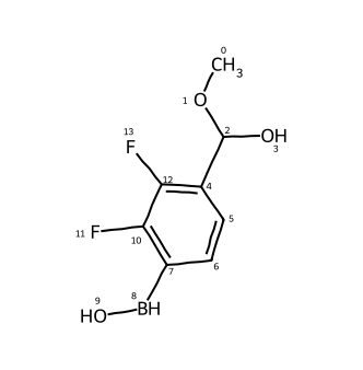 COC(O)c1ccc(BO)c(F)c1F